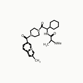 CNC(C)C(=O)NC(C(=O)N1CCN(C(=O)c2ccc3cc(C)cn3c2)CC1)C1CCCCC1